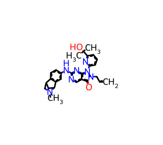 C=CCn1c(=O)c2cnc(Nc3ccc4c(c3)C3CC4CN3C)nc2n1-c1cccc(C(C)(C)O)n1